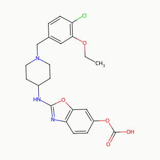 CCOc1cc(CN2CCC(Nc3nc4ccc(OC(=O)O)cc4o3)CC2)ccc1Cl